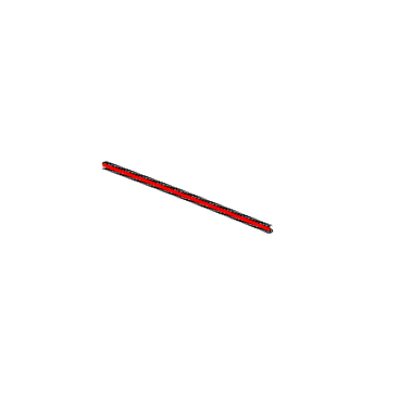 S=S=S=S=S=S=S=S=S=S=S=S=S=S=S=S=S=S=S=S=S=S=S=S=S=S=S=S=S=S=S=S=S=S=S=S=S=S=S=S=S=S=S=S=S=S=S=S=S=S=S=S=S=S=S=S=S=S=S=S=S=S=S=S=S=S=S=S=S=S=S=S=S=S=S=S=S=S=S=S=S=S=S=S=S=S=S=S=S=S=S=S=S=S=S=S=S=S=S=S=S=S=S=S=S=S=S=S=S=S=S=S=S=S